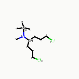 CN([SiH](CCCCl)CCCCl)[Si](C)(C)C